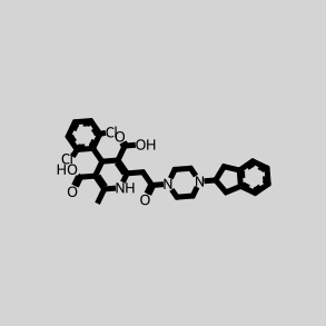 CC1=C(C(=O)O)C(c2c(Cl)cccc2Cl)C(C(=O)O)=C(CC(=O)N2CCN(C3Cc4ccccc4C3)CC2)N1